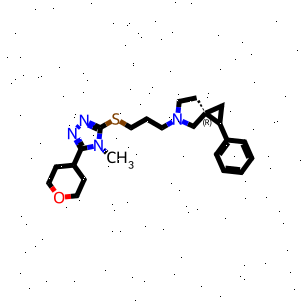 Cn1c(SCCCN2CC[C@@]3(CC3c3ccccc3)C2)nnc1C1CCOCC1